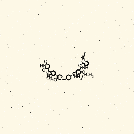 CC(C)Oc1cc2nn(C3CCC(CN4CC[C@@H](c5ccc6c(C7CCC(=O)NC7=O)nn(C)c6c5)[C@@H](O)C4)CC3)cc2cc1C(=O)Nc1cccn([C@H]2C[C@H]2F)c1=O